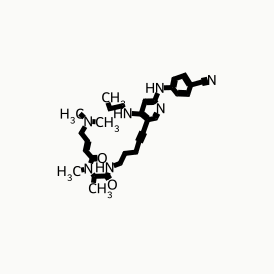 CCCNc1cc(Nc2ccc(C#N)cc2)ncc1C#CCCCNC(=O)C(C)N(C)C(=O)C=CCN(C)C